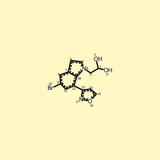 OC(O)Cn1ccc2cc(Br)cc(-c3ccon3)c21